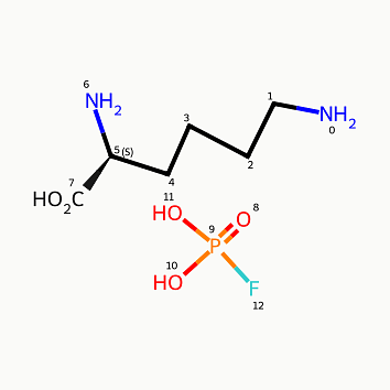 NCCCC[C@H](N)C(=O)O.O=P(O)(O)F